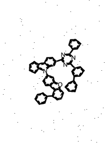 c1ccc(-c2cccc(-c3nc(-c4ccccc4)nc(-c4ccc5c6ccccc6n(-c6ccc7c(c6)oc6cccc(-c8ccccc8)c67)c5c4)n3)c2)cc1